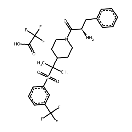 CC(C)(C1CCN(C(=O)[C@H](N)Cc2ccccc2)CC1)S(=O)(=O)c1cccc(C(F)(F)F)c1.O=C(O)C(F)(F)F